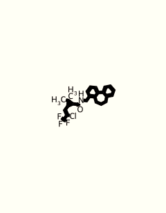 CC1(C)C(C=C(Cl)C(F)(F)F)C1C(=O)NCc1cccc2c1CCCc1ccccc1-2